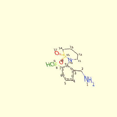 Cl.NCc1cccc(F)c1N1CCCCS1(=O)=O